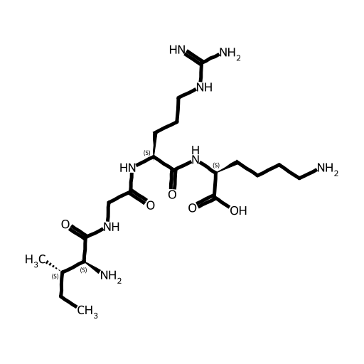 CC[C@H](C)[C@H](N)C(=O)NCC(=O)N[C@@H](CCCNC(=N)N)C(=O)N[C@@H](CCCCN)C(=O)O